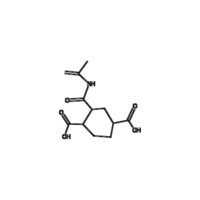 C=C(C)NC(=O)C1CC(C(=O)O)CCC1C(=O)O